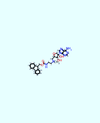 CN(CCNC(=O)OCC1c2ccccc2-c2ccccc21)CC1OC[C@@](O)(n2cnc3c(N)ncnc32)[C@@H]1O